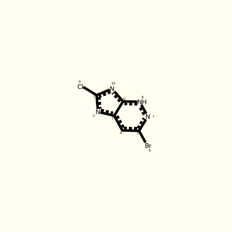 Clc1nc2cc(Br)n[nH]c-2n1